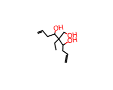 C=CCC(O)C(CC)(CO)C(O)CC=C